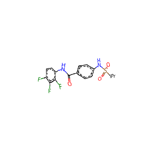 CC(C)S(=O)(=O)Nc1ccc(C(=O)Nc2ccc(F)c(F)c2F)cc1